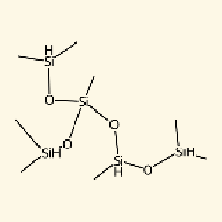 C[SiH](C)O[SiH](C)O[Si](C)(O[SiH](C)C)O[SiH](C)C